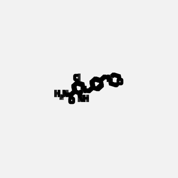 N=c1c(C(N)=O)cc(Cl)cn1Cc1ccc(CN2CCOCC2)cc1